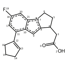 O=C(O)CC1CCn2c1cc1c(C3=CCCC3)cc(F)cc12